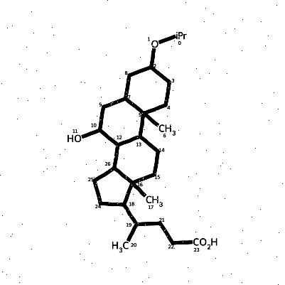 CC(C)OC1CCC2(C)C(C1)CC(O)C1C2CCC2(C)C(C(C)CCC(=O)O)CCC12